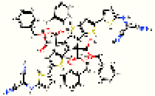 N#CC(C#N)=Nc1ccc(-c2cc3c(s2)C2=C(c4sc5cc(-c6ccc(N=C(C#N)C#N)s6)sc5c4C2(C(=O)OCc2ccccc2)C(=O)OCc2ccccc2)C3(C(=O)OCc2ccccc2)C(=O)OCc2ccccc2)s1